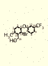 Cc1ccc(Oc2cccc(C(F)(F)F)c2)c(Br)c1CO